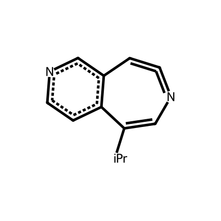 CC(C)C1=CN=C=Cc2cnccc21